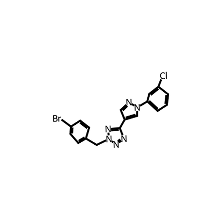 Clc1cccc(-n2cc(-c3nnn(Cc4ccc(Br)cc4)n3)cn2)c1